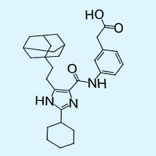 O=C(O)Cc1cccc(NC(=O)c2nc(C3CCCCC3)[nH]c2CCC23CC4CC(CC(C4)C2)C3)c1